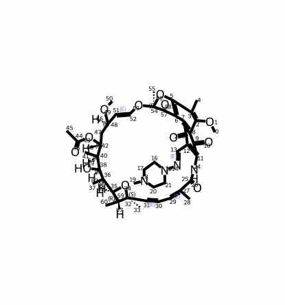 COc1c(C)c2c3c4c1C(=O)C(=C(/C=N/N1CCN(C)CC1)C4=O)NC(=O)/C(C)=C\C=C\[C@]1(C)O[C@H]([C@@H](C)[C@@H](O)[C@@H](C)[C@H](OC(C)=O)C[C@@H](OC)/C=C/O[C@@](C)(O2)C3=O)[C@H]1C